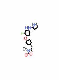 CCN1C(=O)OCC1Cc1ccc(Oc2ccc(Nc3ccccn3)cc2F)cc1